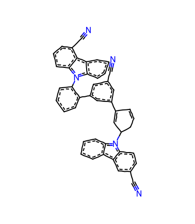 N#Cc1cc(C2=CC(n3c4ccccc4c4cc(C#N)ccc43)CC=C2)cc(-c2ccccc2-n2c3ccccc3c3c(C#N)cccc32)c1